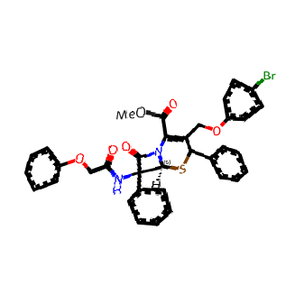 COC(=O)C1=C(COc2ccc(Br)cc2)C(c2ccccc2)S[C@@H]2N1C(=O)C2(NC(=O)COc1ccccc1)c1ccccc1